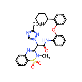 CN1C(C(C(=O)Nc2ccccc2Oc2ccccc2C2CCCCC2)n2cnc(C(=O)O)n2)=Nc2ccccc2S1(=O)=O